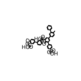 COc1ccc(-c2ccc(Oc3c(-c4ccc(S(=O)(=O)O)cc4)cc(-c4ccc(C)c(-c5ccccc5)c4)cc3S(=O)(=O)O)cc2)cc1S(=O)(=O)O